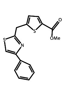 COC(=O)c1ccc(Cc2nc(-c3ccccc3)cs2)s1